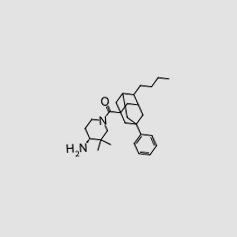 CCCCC1C2CC3(C(=O)N4CC[C@H](N)C(C)(C)C4)CC1CC(c1ccccc1)(C2)C3